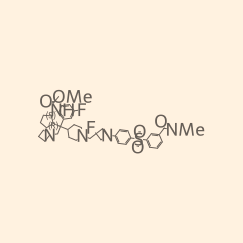 CNC(=O)c1cccc(S(=O)(=O)c2ccc(N3CC(F)(CN4CCC(C(CN5CCC5)(c5cccc(F)c5)[C@H]5CCC[C@@H]5NC(=O)OC)CC4)C3)cc2)c1